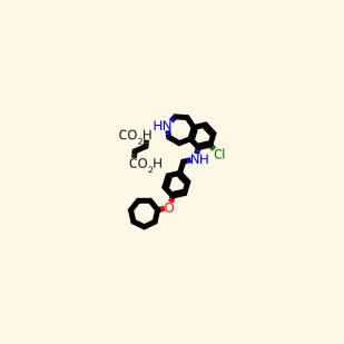 Clc1ccc2c(c1NCc1ccc(OC3CCCCCC3)cc1)CCNCC2.O=C(O)CCC(=O)O